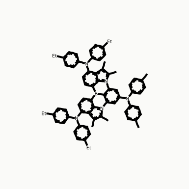 CCc1ccc(N(c2ccc(CC)cc2)c2ccc3c4c2c(C)c(C)n4-c2cc(N(c4ccc(C)cc4)c4ccc(C)cc4)cc4c2B3c2ccc(N(c3ccc(CC)cc3)c3ccc(CC)cc3)c3c(C)c(C)n-4c23)cc1